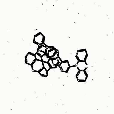 c1ccc2c(c1)Sc1ccccc1N2c1ccc2c(c1)c1ccccc1n2-c1cccc2c1C1(c3cccnc3-c3ncccc31)c1c(cccc1-n1c3ccccc3c3ccccc31)O2